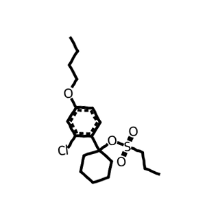 CCCCOc1ccc(C2(OS(=O)(=O)CCC)CCCCC2)c(Cl)c1